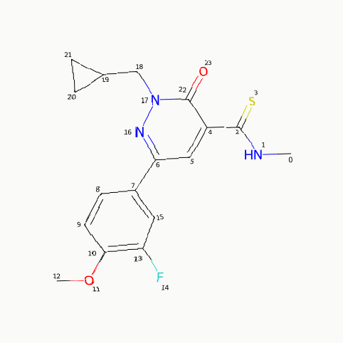 CNC(=S)c1cc(-c2ccc(OC)c(F)c2)nn(CC2CC2)c1=O